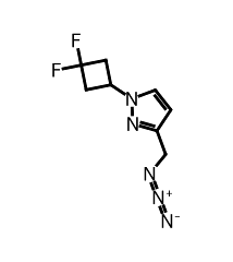 [N-]=[N+]=NCc1ccn(C2CC(F)(F)C2)n1